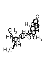 C=CCNc1cc(N2CCN(CC(=O)[C@H]3[C@H](C)C[C@H]4[C@@H]5CCC6=CC(=O)C=C[C@]6(C)C5=CC[C@@]43C)CC2)nc(NCC=C)n1